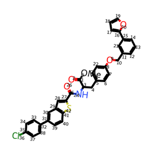 COC(=O)C(Cc1ccc(OCc2cccc(-c3ccco3)c2)cc1)NC(=O)c1cc2cc(-c3ccc(Cl)cc3)ccc2s1